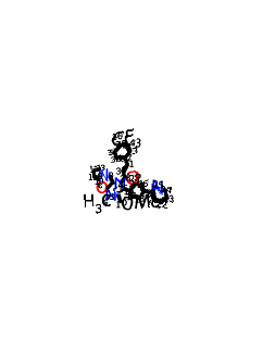 COCCN(C)C(=O)C(Cn1cccc1)N(Cc1ccc(-c2ccccn2)cc1)C(=O)C=Cc1ccc(C(F)(F)F)cc1